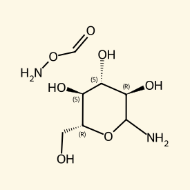 NC1O[C@H](CO)[C@@H](O)[C@H](O)[C@H]1O.NOC=O